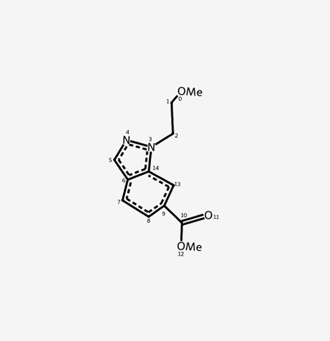 COCCn1ncc2ccc(C(=O)OC)cc21